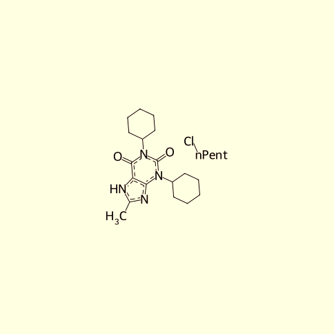 CCCCCCl.Cc1nc2c([nH]1)c(=O)n(C1CCCCC1)c(=O)n2C1CCCCC1